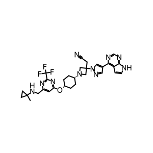 CC1(NCc2cc(O[C@H]3CC[C@@H](N4CC(CC#N)(n5cc(-c6ncnc7[nH]ccc67)cn5)C4)CC3)nc(C(F)(F)F)n2)CC1